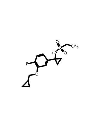 CCS(=O)(=O)NC1(c2ccc(F)c(OCC3CC3)c2)CC1